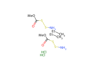 CCC.CCC.COC(=O)SSN.COC(=O)SSN.Cl.Cl